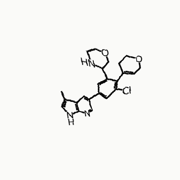 Cc1c[nH]c2ncc(-c3cc(Cl)c(C4=CCOCC4)c(C4COCCN4)c3)cc12